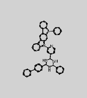 c1ccc(-c2ccc(C3NC(c4ccccc4)NC(c4ccnc(-n5c6ccccc6c6cc7c8ccccc8n(-c8ccccc8)c7cc65)c4)N3)cc2)cc1